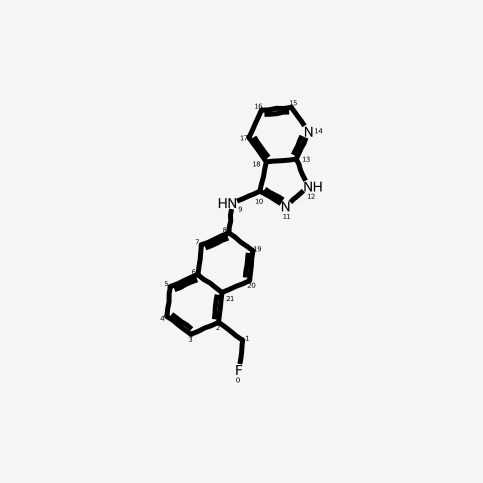 FCc1cccc2cc(Nc3n[nH]c4ncccc34)ccc12